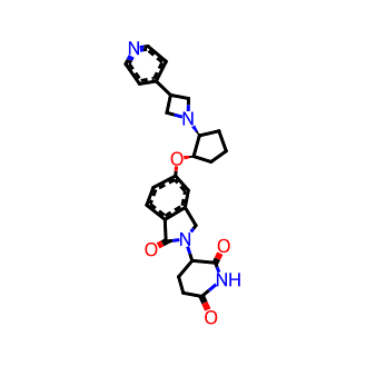 O=C1CCC(N2Cc3cc(O[C@@H]4CCC[C@@H]4N4CC(c5ccncc5)C4)ccc3C2=O)C(=O)N1